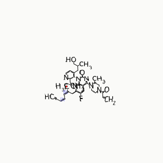 C#C/C=C\C=C(\F)Cc1nc2c(cc1F)c(N1CCN(C(=O)C=C)CC1C)nc(=O)n2-c1c(CC(C)CO)ccnc1C(C)C